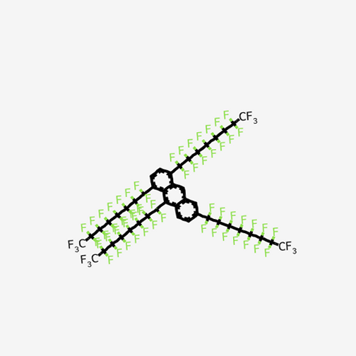 FC(F)(F)C(F)(F)C(F)(F)C(F)(F)C(F)(F)C(F)(F)C(F)(F)C(F)(F)c1ccc2c(C(F)(F)C(F)(F)C(F)(F)C(F)(F)C(F)(F)C(F)(F)C(F)(F)C(F)(F)F)c3c(C(F)(F)C(F)(F)C(F)(F)C(F)(F)C(F)(F)C(F)(F)C(F)(F)C(F)(F)F)ccc(C(F)(F)C(F)(F)C(F)(F)C(F)(F)C(F)(F)C(F)(F)C(F)(F)C(F)(F)F)c3cc2c1